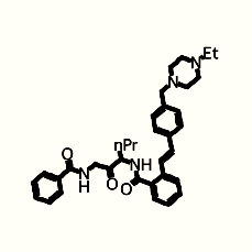 CCCC(NC(=O)c1ccccc1C=Cc1ccc(CN2CCN(CC)CC2)cc1)C(=O)CNC(=O)c1ccccc1